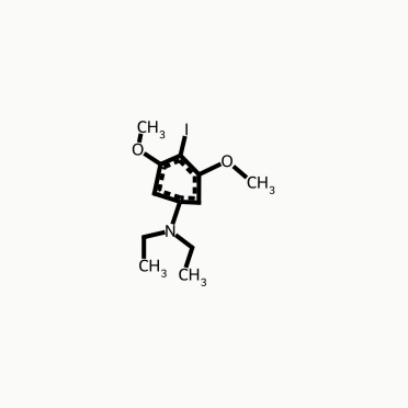 CCN(CC)c1cc(OC)c(I)c(OC)c1